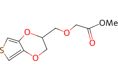 COC(=O)COCC1COc2cscc2O1